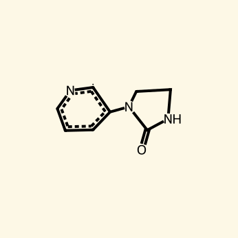 O=C1NCCN1c1[c]nccc1